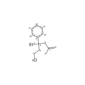 C=C(C)CC(CC)(CCCl)c1ccccc1